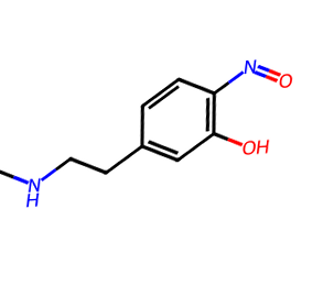 CNCCc1ccc(N=O)c(O)c1